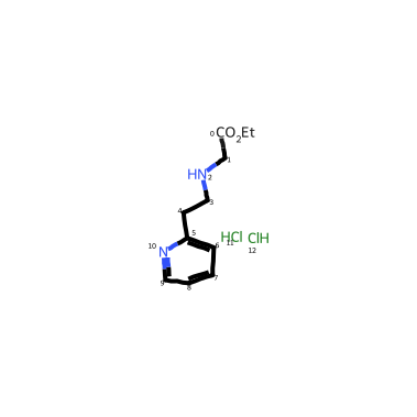 CCOC(=O)CNCCc1ccccn1.Cl.Cl